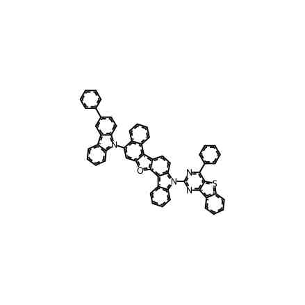 c1ccc(-c2ccc3c(c2)c2ccccc2n3-c2cc3oc4c(ccc5c4c4ccccc4n5-c4nc(-c5ccccc5)c5sc6ccccc6c5n4)c3c3ccccc23)cc1